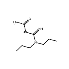 CCCN(CCC)C(=N)NC(N)=O